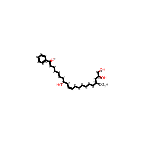 O=C(CCCCCC[C@@H](O)C/C=C\CCCCCCC(CC(O)CO)C(=O)O)c1ccccc1